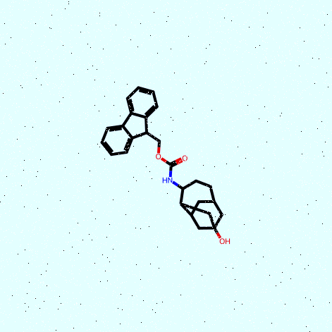 O=C(NC1CCC2CC3CC(O)(C2)CC31)OCC1c2ccccc2-c2ccccc21